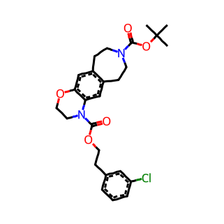 CC(C)(C)OC(=O)N1CCc2cc3c(cc2CC1)N(C(=O)OCCc1cccc(Cl)c1)CCO3